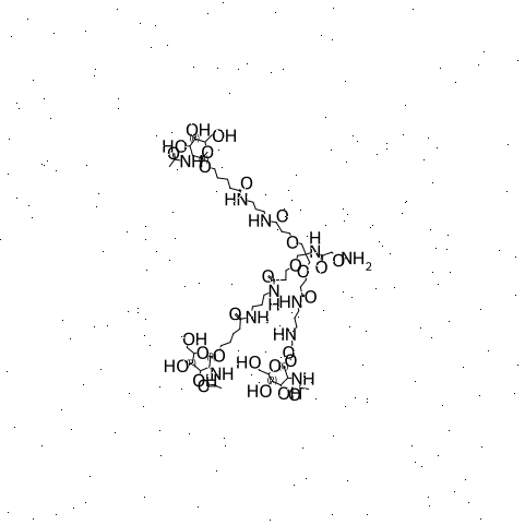 CC(=O)NC1C(O)[C@@H](O)C(CO)O[C@H]1OCCCCC(=O)NCCCNC(=O)CCOCC(COCCC(=O)NCCCNCOO[C@@H]1OC(CO)[C@H](O)C(O)C1NC(C)=O)(COCCC(=O)NCCCNC(=O)CCCCO[C@@H]1OC(CO)[C@H](O)C(O)C1NC(C)=O)NC(=O)CON